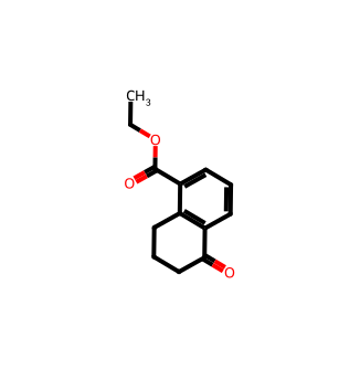 CCOC(=O)c1cccc2c1CCCC2=O